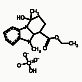 CCOC(=O)C1CCC(C)(O)N2c3ccccc3N(C)C12.[O-][Cl+3]([O-])([O-])O